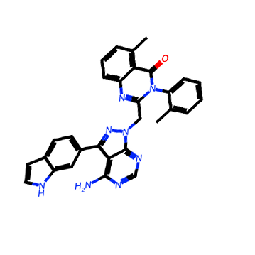 Cc1ccccc1-n1c(Cn2nc(-c3ccc4cc[nH]c4c3)c3c(N)ncnc32)nc2cccc(C)c2c1=O